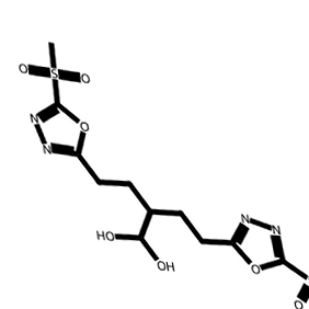 CS(=O)(=O)c1nnc(CCC(CCc2nnc(S(C)(=O)=O)o2)C(O)O)o1